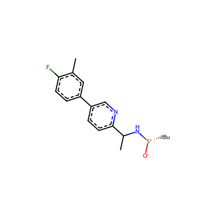 Cc1cc(-c2ccc(C(C)N[S@@+]([O-])C(C)(C)C)nc2)ccc1F